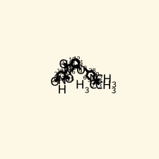 CC(C)(C)N1CCC(COc2cccc3c2CN(C2CCC(=O)NC2=O)C3=O)CC1